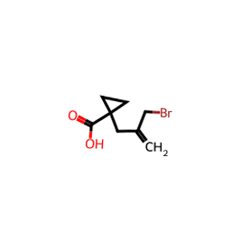 C=C(CBr)CC1(C(=O)O)CC1